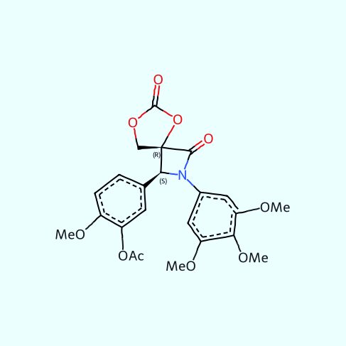 COc1ccc([C@@H]2N(c3cc(OC)c(OC)c(OC)c3)C(=O)[C@]23COC(=O)O3)cc1OC(C)=O